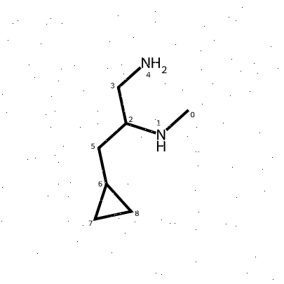 CNC(CN)CC1CC1